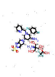 CS(=O)(=O)n1cc2c(n1)CN([C@@H]1C[C@H](N)[C@@H](c3cc(F)ccc3F)N(Cc3ccccn3)C1)C2.NC(CO)(CO)CO.O=C(O)C(F)(F)F